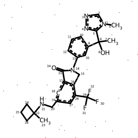 Cn1cnnc1C(C)(O)c1cccc(N2Cc3c(cc(CNC4(C)CCC4)cc3C(F)(F)F)C2=O)c1